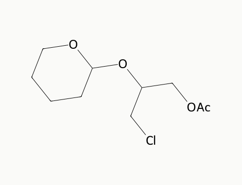 CC(=O)OCC(CCl)OC1CCCCO1